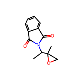 CC(N1C(=O)c2ccccc2C1=O)C1(C)CO1